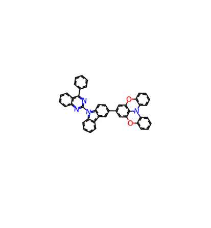 c1ccc(-c2nc(-n3c4ccccc4c4cc(-c5cc6c7c(c5)Oc5ccccc5N7c5ccccc5O6)ccc43)nc3ccccc23)cc1